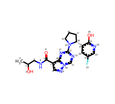 CC(O)CNC(=O)c1cnn2cnc(N3CCC[C@@H]3c3cc(F)cnc3O)nc12